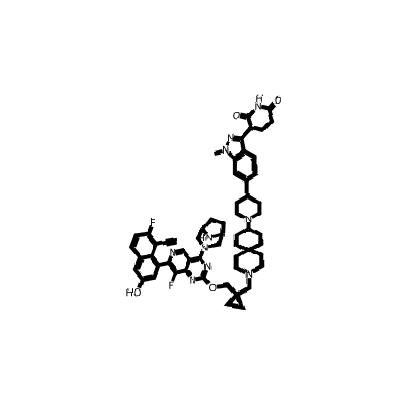 C#Cc1c(F)ccc2cc(O)cc(-c3ncc4c(N5CC6CCC(C5)N6)nc(OCC5(CN6CCC7(CCC(N8CCC(c9ccc%10c(C%11CCC(=O)NC%11=O)nn(C)c%10c9)CC8)CC7)CC6)CC5)nc4c3F)c12